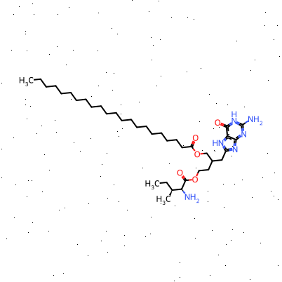 CCCCCCCCCCCCCCCCCCCCCC(=O)OCC(CCOC(=O)[C@@H](N)[C@@H](C)CC)Cc1nc2nc(N)[nH]c(=O)c2[nH]1